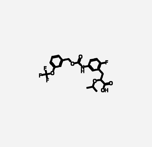 CC(C)OC(Cc1cc(NC(=O)OCc2cccc(OC(F)(F)F)c2)ccc1F)C(=O)O